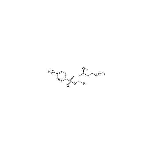 C=CCCC(C)C[C@H](CC)OS(=O)(=O)c1ccc(C)cc1